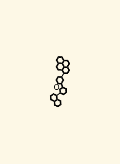 c1ccc2c(-c3cccc4c3oc3ccc(-c5ccc6ccc7cccc8ccc5c6c78)cc34)cccc2c1